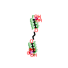 O=P(O)(O)C(F)(F)C(F)(F)C(F)(F)C(F)(F)OCCCCOC(F)(F)C(F)(F)C(F)(F)C(F)(F)P(=O)(O)O